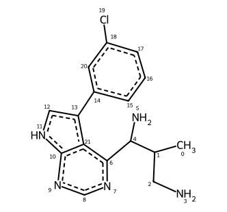 CC(CN)C(N)c1ncnc2[nH]cc(-c3cccc(Cl)c3)c12